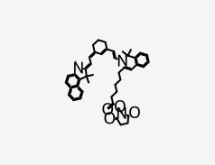 CN1C(=CC=C2C=C(C=CN3C(CCCCCC(=O)ON4C(=O)CCC4=O)=Cc4ccccc4C3(C)C)CCC2)C(C)(C)c2c1ccc1ccccc21